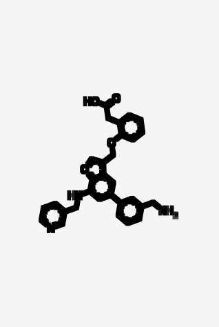 NCc1cccc(-c2cc(NCc3cccnc3)c3occ(COc4ccccc4CC(=O)O)c3c2)c1